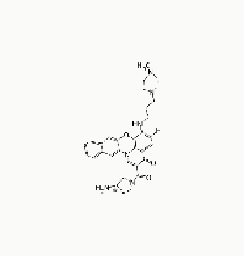 CN1CCN(CCCNc2c(F)cc3c(=O)c(C(=O)N4CC[C@@H](N)C4)cn4c3c2Oc2cc3ccccc3cc2-4)CC1